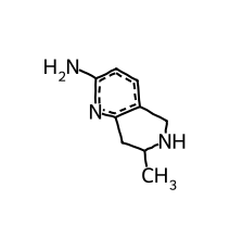 CC1Cc2nc(N)ccc2CN1